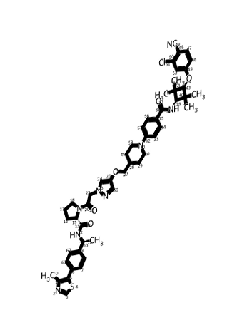 Cc1ncsc1-c1ccc([C@H](C)NC(=O)[C@@H]2CCCN2C(=O)Cn2cc(OCC3CCN(c4ccc(C(=O)N[C@H]5C(C)(C)[C@H](Oc6ccc(C#N)c(Cl)c6)C5(C)C)cc4)CC3)cn2)cc1